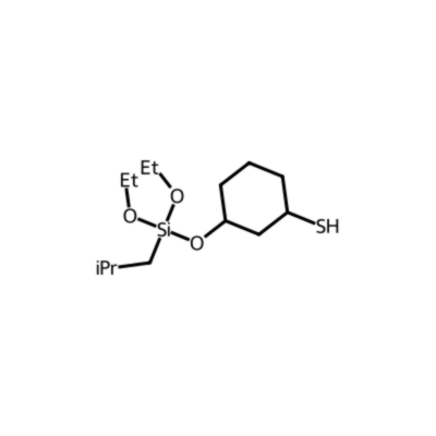 CCO[Si](CC(C)C)(OCC)OC1CCCC(S)C1